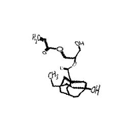 C=CC(=O)OCC(CO)OC(=O)C12CC3CC(O)(CC(CC)(C3)C1)C2